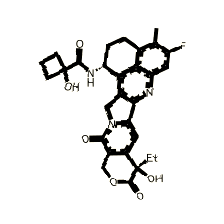 CC[C@@]1(O)C(=O)OCc2c1cc1n(c2=O)Cc2c-1nc1cc(F)c(C)c3c1c2[C@H](NC(=O)C1(O)CCC1)CC3